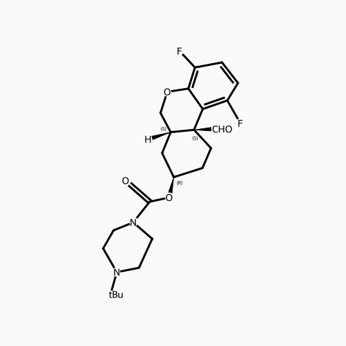 CC(C)(C)N1CCN(C(=O)O[C@@H]2CC[C@@]3(C=O)c4c(F)ccc(F)c4OC[C@H]3C2)CC1